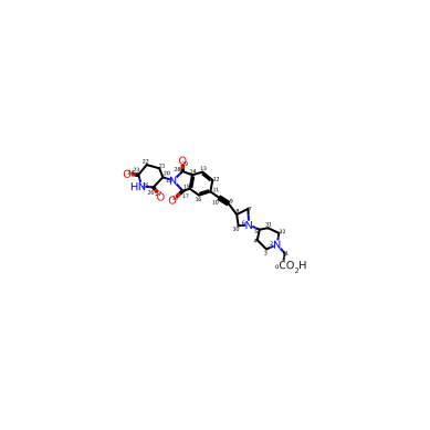 O=C(O)CN1CCC(N2CC(C#Cc3ccc4c(c3)C(=O)N(C3CCC(=O)NC3=O)C4=O)C2)CC1